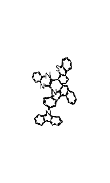 c1ccc2c(c1)ccc1c2c2cc(-n3c4ccccc4c4ccccc43)ccc2n1-c1nc2ccccc2nc1-c1cccc2c1sc1ccccc12